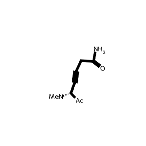 CN[C@H](C#CCC(N)=O)C(C)=O